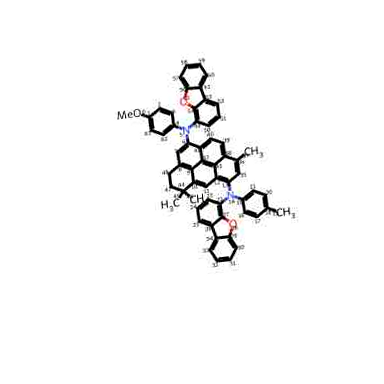 COc1ccc(N(c2cc3c4c(cc5c(N(c6ccc(C)cc6)c6cccc7c6oc6ccccc67)cc(C)c6ccc2c4c65)C(C)(C)CC3)c2cccc3c2oc2ccccc23)cc1